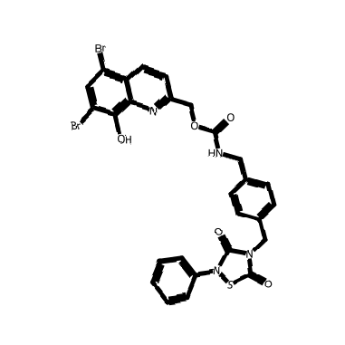 O=C(NCc1ccc(Cn2c(=O)sn(-c3ccccc3)c2=O)cc1)OCc1ccc2c(Br)cc(Br)c(O)c2n1